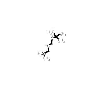 C[SiH2]COCOC(C)(C)C